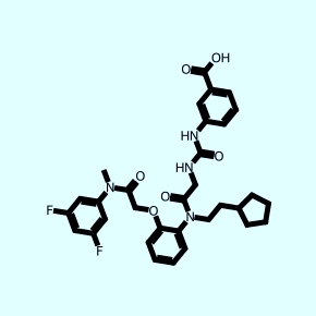 CN(C(=O)COc1ccccc1N(CCC1CCCC1)C(=O)CNC(=O)Nc1cccc(C(=O)O)c1)c1cc(F)cc(F)c1